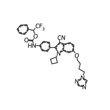 N#Cc1c(-c2ccc(NC(=O)OC(c3ccccc3)C(F)(F)F)cc2)n(C2CCC2)c2cc(OCCCCn3cncn3)ccc12